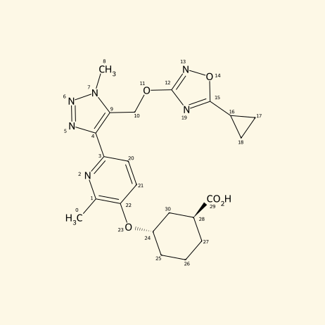 Cc1nc(-c2nnn(C)c2COc2noc(C3CC3)n2)ccc1O[C@H]1CCC[C@H](C(=O)O)C1